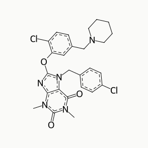 Cn1c(=O)c2c(nc(Oc3cc(CN4CCCCC4)ccc3Cl)n2Cc2ccc(Cl)cc2)n(C)c1=O